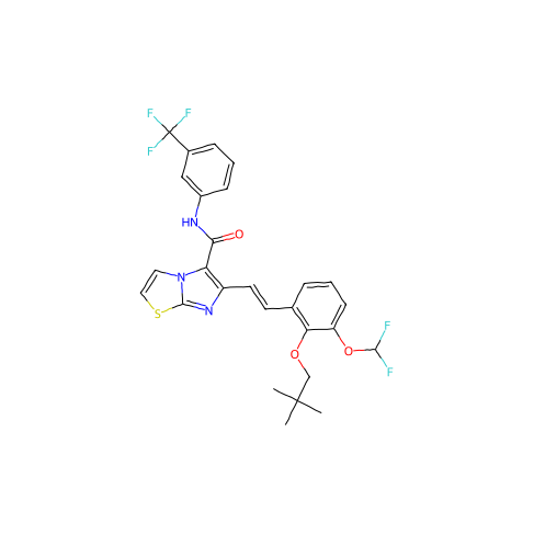 CC(C)(C)COc1c(C=Cc2nc3sccn3c2C(=O)Nc2cccc(C(F)(F)F)c2)cccc1OC(F)F